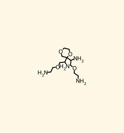 NCCOCC(N)C1(C(N)COCCN)COCCO1